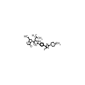 C#CC1CN(C(=O)C(CC(C)C)NC(=O)c2ccc(-c3nc(N4CCN(C)CC4)sc3F)cc2)C2C(=O)COC12